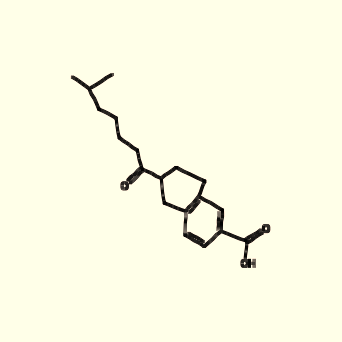 CC(C)CCCCC(=O)C1CCc2cc(C(=O)O)ccc2C1